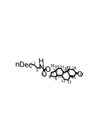 CCCCCCCCCCCCNC(=O)O[C@H]1CCC2C3CCC4=CC(=O)CC[C@]4(C)C3CC[C@@]21C